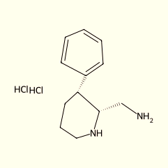 Cl.Cl.NC[C@@H]1NCCC[C@@H]1c1ccccc1